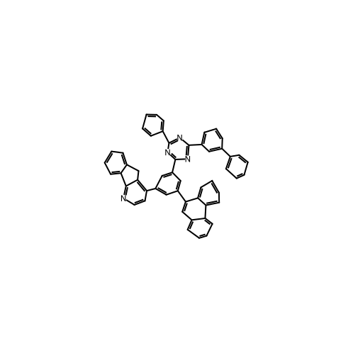 c1ccc(-c2cccc(-c3nc(-c4ccccc4)nc(-c4cc(-c5ccnc6c5Cc5ccccc5-6)cc(-c5cc6ccccc6c6ccccc56)c4)n3)c2)cc1